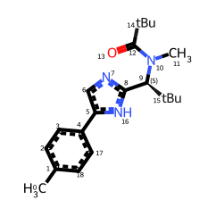 Cc1ccc(-c2cnc([C@@H](N(C)C(=O)C(C)(C)C)C(C)(C)C)[nH]2)cc1